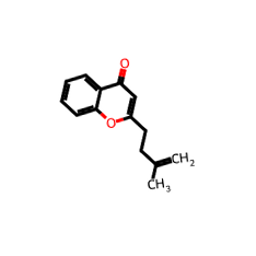 C=C(C)CCc1cc(=O)c2ccccc2o1